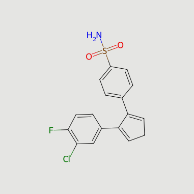 NS(=O)(=O)c1ccc(C2=CCC=C2c2ccc(F)c(Cl)c2)cc1